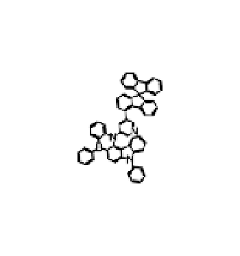 c1ccc(B2c3ccccc3N(c3cncc(-c4cccc5c4-c4ccccc4C54c5ccccc5-c5ccccc54)c3)c3c2ccc2c3c3ccccc3n2-c2ccccc2)cc1